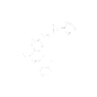 Cc1ccncc1-c1cc2cc(NC(=O)[C@@H]3C[C@H]3c3ncccn3)ncc2c(N)n1